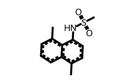 Cc1ccc(NS(C)(=O)=O)c2c(C)cccc12